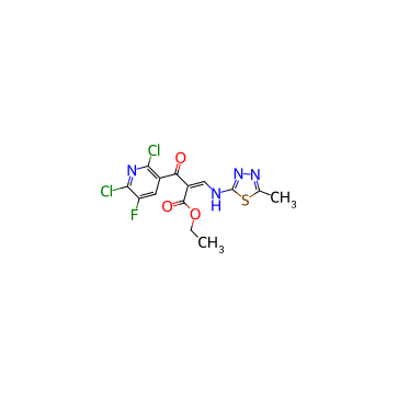 CCOC(=O)C(=CNc1nnc(C)s1)C(=O)c1cc(F)c(Cl)nc1Cl